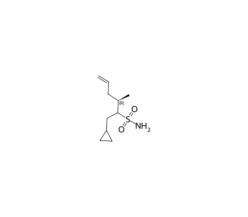 C=CC[C@@H](C)C(CC1CC1)S(N)(=O)=O